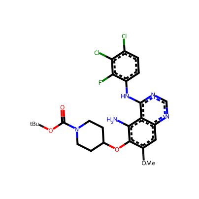 COc1cc2ncnc(Nc3ccc(Cl)c(Cl)c3F)c2c(N)c1OC1CCN(C(=O)OC(C)(C)C)CC1